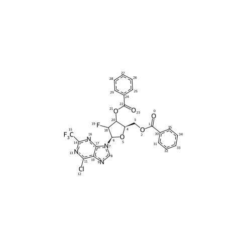 O=C(OC[C@H]1O[C@@H](n2cnc3c(Cl)nc(C(F)(F)F)nc32)C(F)C1OC(=O)c1ccccc1)c1ccccc1